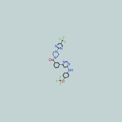 O=C(c1cccc(-c2cc(Nc3ccc(OC(F)(F)F)cc3)ncn2)c1)N1CCN(c2ncc(C(F)(F)F)cn2)CC1